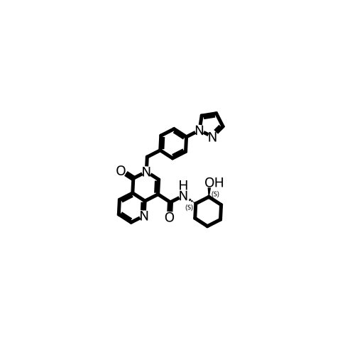 O=C(N[C@H]1CCCC[C@@H]1O)c1cn(Cc2ccc(-n3cccn3)cc2)c(=O)c2cccnc12